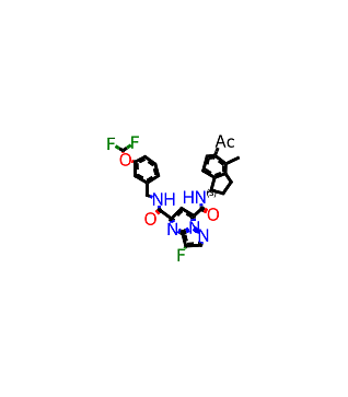 CC(=O)c1ccc2c(c1C)CC[C@@H]2NC(=O)c1cc(C(=O)NCc2cccc(OC(F)F)c2)nc2c(F)cnn12